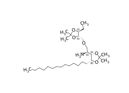 CCCCCCCCCCCCCC[C@H]1OC(C)(C)O[C@H]1[C@@H](N)COC[C@@H]1OC(C)(C)O[C@H]1CC